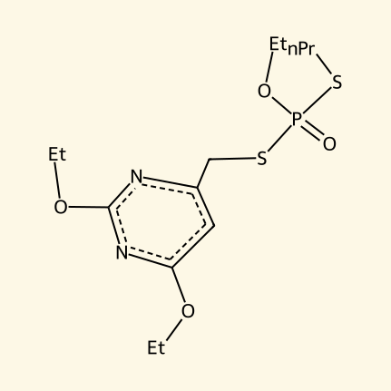 CCCSP(=O)(OCC)SCc1cc(OCC)nc(OCC)n1